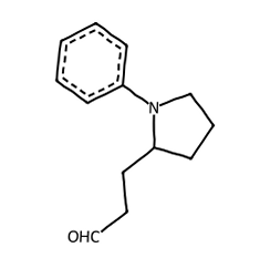 O=CCCC1CCCN1c1ccccc1